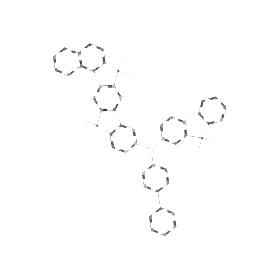 CC1(C)c2ccccc2-c2ccc(N(c3ccc(-c4ccccc4)cc3)c3ccc4c(c3)-c3cc5c(cc3C4(C)C)-c3c(ccc4ccccc34)C5(C)C)cc21